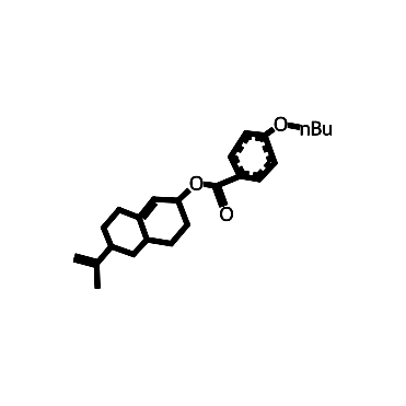 C=C(C)C1CCC2=CC(OC(=O)c3ccc(OCCCC)cc3)CCC2C1